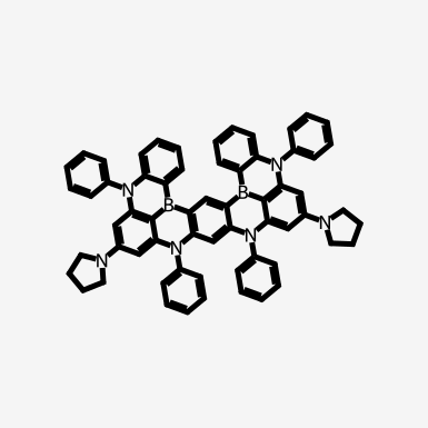 c1ccc(N2c3ccccc3B3c4cc5c(cc4N(c4ccccc4)c4cc(N6CCCC6)cc2c43)N(c2ccccc2)c2cc(N3CCCC3)cc3c2B5c2ccccc2N3c2ccccc2)cc1